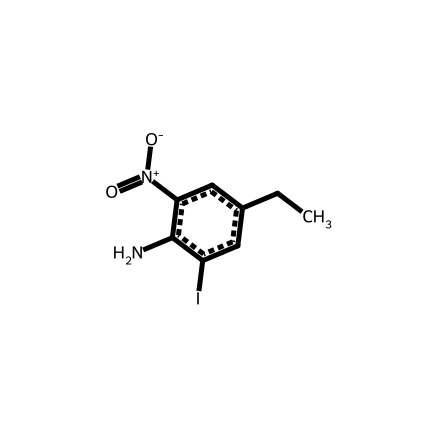 CCc1cc(I)c(N)c([N+](=O)[O-])c1